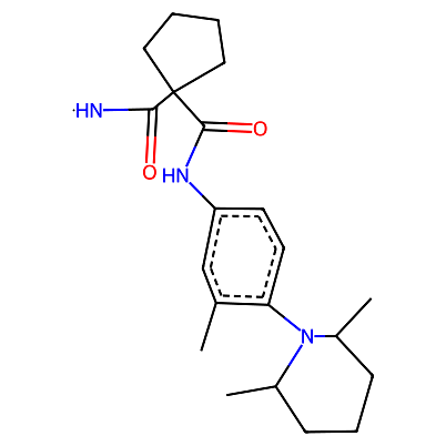 Cc1cc(NC(=O)C2(C([NH])=O)CCCC2)ccc1N1C(C)CCCC1C